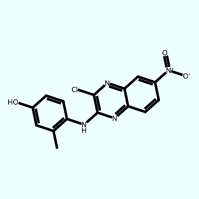 Cc1cc(O)ccc1Nc1nc2ccc([N+](=O)[O-])cc2nc1Cl